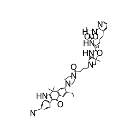 CCc1cc2c(cc1N1CCN(C(=O)CCCN3C[C@H](NC(=O)[C@H](CCCc4cccnc4N)NC(=O)OC(C)(C)C)C(C)(C)C3)CC1)C(C)(C)c1[nH]c3cc(C#N)ccc3c1C2=O